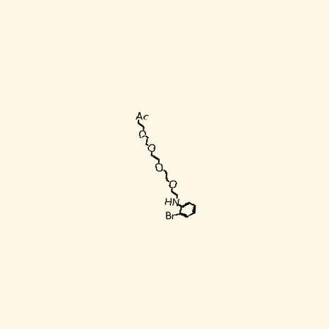 CC(=O)CCOCCOCCOCCOCCNc1ccccc1Br